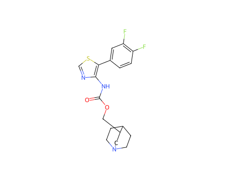 O=C(Nc1ncsc1-c1ccc(F)c(F)c1)OCC1CN2CCC1CC2